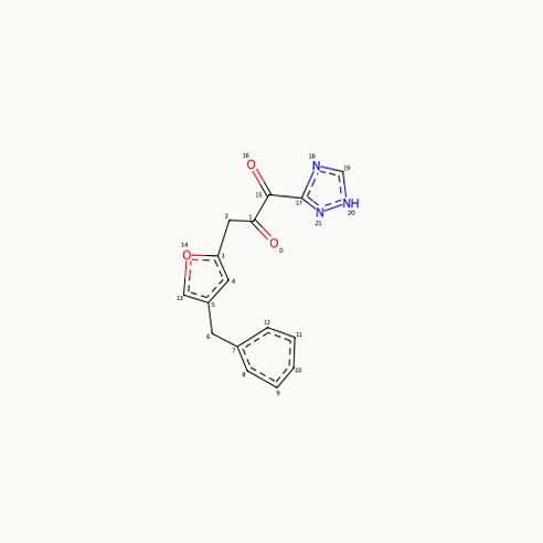 O=C(Cc1cc(Cc2ccccc2)co1)C(=O)c1nc[nH]n1